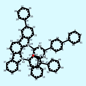 c1ccc(-c2ccc(-c3nc(-c4ccccc4)nc(-n4c5ccc(-c6ccccc6)cc5c5ccc6c7ccccc7n(-c7ccc(-c8ccccc8)cc7)c6c54)n3)cc2)cc1